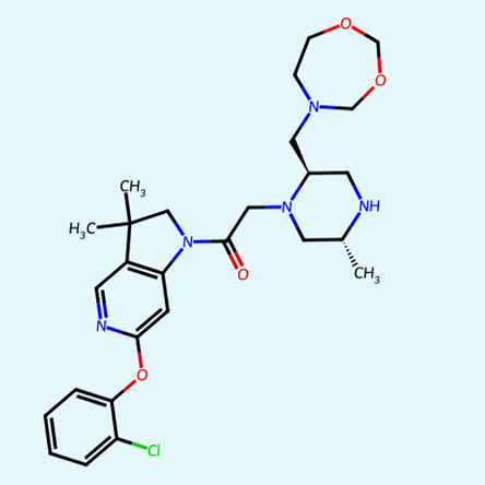 C[C@@H]1CN(CC(=O)N2CC(C)(C)c3cnc(Oc4ccccc4Cl)cc32)[C@@H](CN2CCOCOC2)CN1